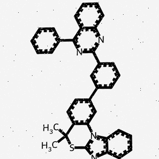 CC1(C)Sc2nc3ccccc3n2-c2cc(-c3cccc(-c4nc(-c5ccccc5)c5ccccc5n4)c3)ccc21